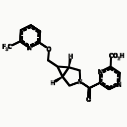 O=C(O)c1cncc(C(=O)N2C[C@@H]3C(COc4cccc(C(F)(F)F)n4)[C@@H]3C2)n1